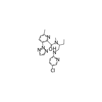 CCC(CNc1ccc(Cl)cn1)N(C)C(=O)c1nc(C)ccc1-n1nccn1